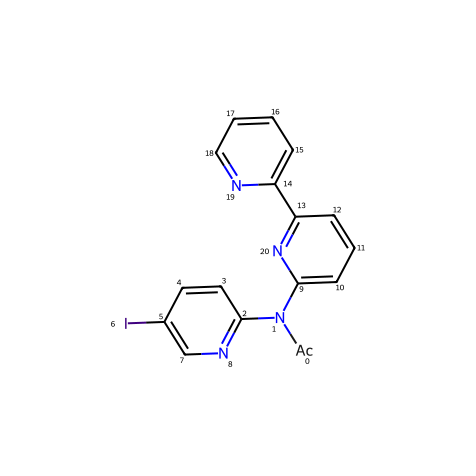 CC(=O)N(c1ccc(I)cn1)c1cccc(-c2ccccn2)n1